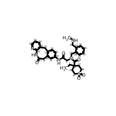 CCC1(C(=O)N(CC(=O)Nc2ccc3c(c2)CC(=O)Nc2ncccc2C3)Cc2ccccc2CNC)CCS(=O)(=O)CC1